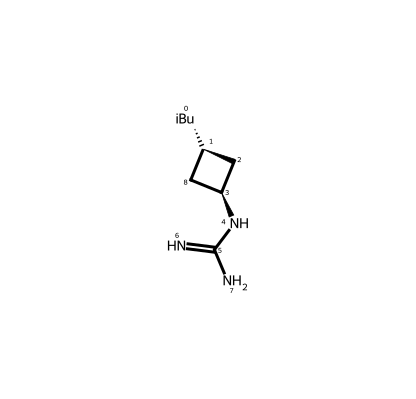 CC[C@@H](C)[C@H]1C[C@@H](NC(=N)N)C1